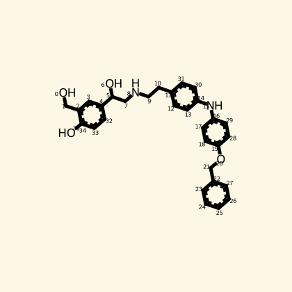 OCc1cc(C(O)CNCCc2ccc(Nc3ccc(OCc4ccccc4)cc3)cc2)ccc1O